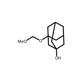 COCOC12CC3CC(CC(O)(C3)C1)C2